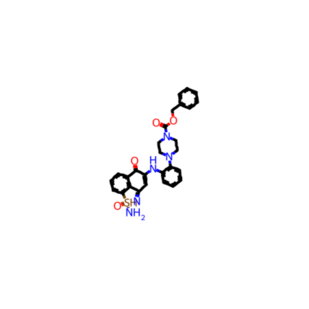 N[SH]1(=O)N=C2C=C(Nc3ccccc3N3CCN(C(=O)OCc4ccccc4)CC3)C(=O)c3cccc1c32